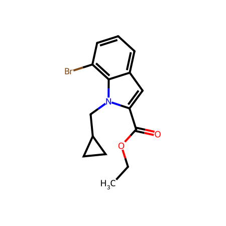 CCOC(=O)c1cc2cccc(Br)c2n1CC1CC1